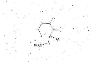 CCC1(CC(=O)O)CCCC(C)C1C